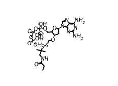 CCC(=O)NCC(C)(C)SSCO[C@@H]1C[C@H](n2cnc3c(N)nc(N)nc32)OC1COP(=O)(O)OP(=O)(O)OP(=O)(O)O